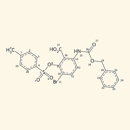 Cc1ccc(S(=O)(=O)Oc2c(Br)ccc(NC(=O)OCc3ccccc3)c2C(=O)O)cc1